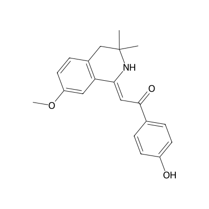 COc1ccc2c(c1)/C(=C/C(=O)c1ccc(O)cc1)NC(C)(C)C2